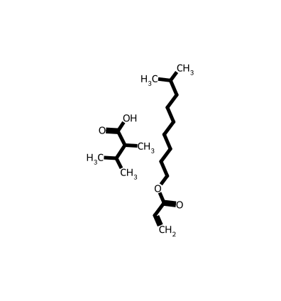 C=CC(=O)OCCCCCCCC(C)C.CC(C)C(C)C(=O)O